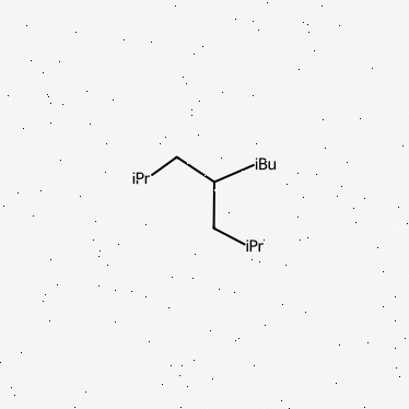 [CH2]C(C)CC(CC(C)C)C(C)CC